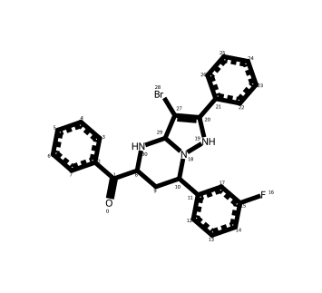 O=C(c1ccccc1)C1CC(c2cccc(F)c2)N2NC(c3ccccc3)=C(Br)C2N1